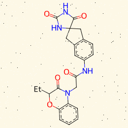 CCC1Oc2ccccc2N(CC(=O)Nc2ccc3c(c2)CC2(C3)NC(=O)NC2=O)C1=O